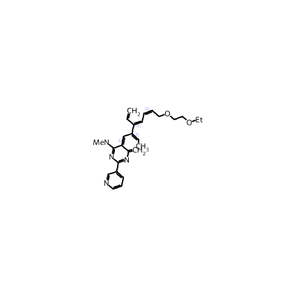 C=CC(=C\C=C/COCCOCC)/C(=C/C)/C=c1/c(NC)nc(-c2cccnc2)nc1=C